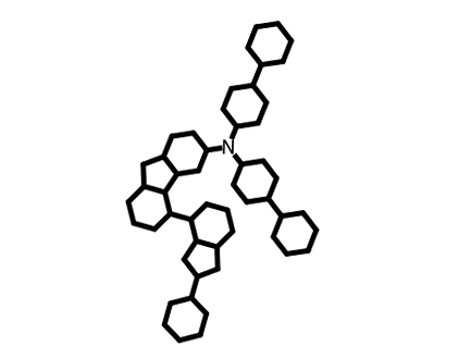 C1CCC(C2CCC(N(C3CCC(C4CCCCC4)CC3)C3CCC4CC5CCCC(C6CCCC7CC(C8CCCCC8)CC76)C5C4C3)CC2)CC1